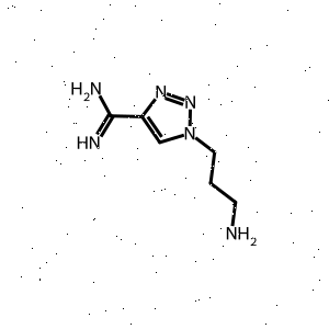 N=C(N)c1cn(CCCN)nn1